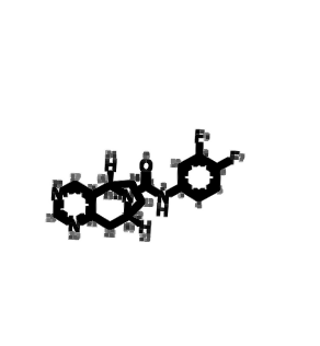 O=C(Nc1ccc(F)c(F)c1)N1[C@@H]2CC[C@H]1c1cncnc1C2